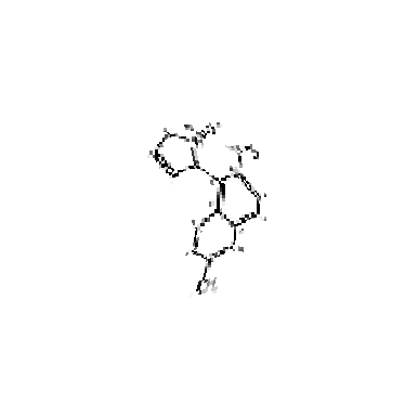 Cc1ccc2c(C3C=CC[PH]3=O)c(N)ccc2n1